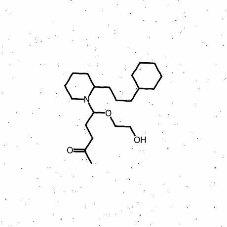 CC(=O)CCC(OCCO)N1CCCCC1CCCC1CCCCC1